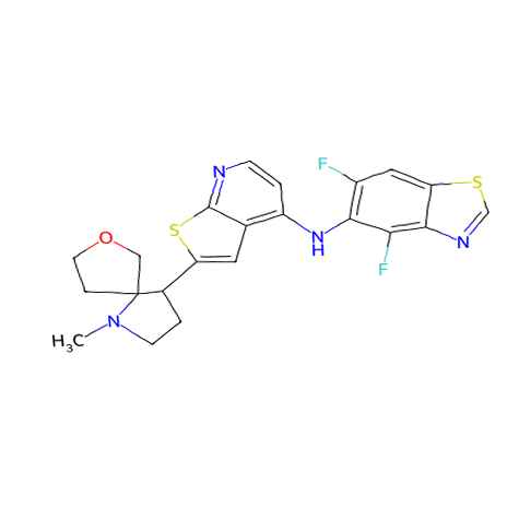 CN1CCC(c2cc3c(Nc4c(F)cc5scnc5c4F)ccnc3s2)C12CCOC2